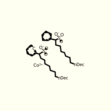 CCCCCCCCCCCCCCCCCC(c1ccccc1)S(=O)(=O)[O-].CCCCCCCCCCCCCCCCCC(c1ccccc1)S(=O)(=O)[O-].[Co+2]